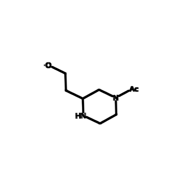 CC(=O)N1CCNC(CC[O])C1